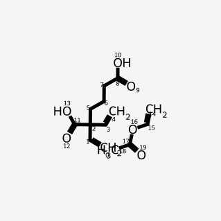 C=CC(C=C)(CCCC(=O)O)C(=O)O.C=COC(C)=O